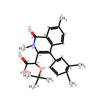 Cc1ccc2c(-c3ccc(C)c(C)c3)c(C(OC(C)(C)C)C(=O)O)n(C)c(=O)c2c1